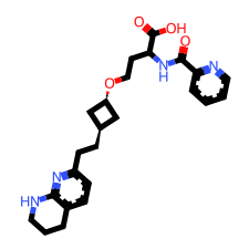 O=C(NC(CCO[C@H]1C[C@H](CCc2ccc3c(n2)NCCC3)C1)C(=O)O)c1ccccn1